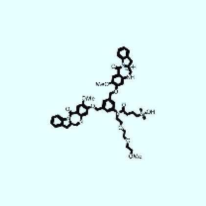 COCCOCCOCCN(C(=O)CCC[Si](C)(C)O)c1cc(COc2cc3c(cc2OC)C(=O)N2c4ccccc4CC2C=N3)cc(COc2cc3c(cc2OC)C(=O)N2c4ccccc4C[C@H]2CN3)c1